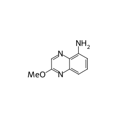 COc1cnc2c(N)cccc2n1